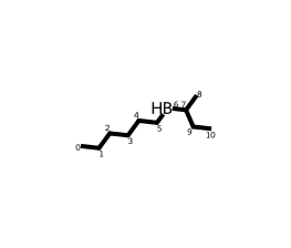 CCCCCCBC(C)CC